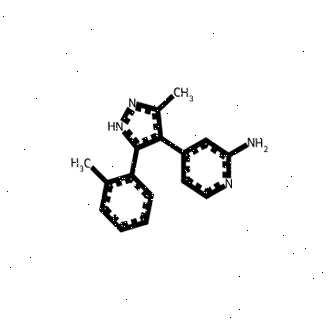 Cc1ccccc1-c1[nH]nc(C)c1-c1ccnc(N)c1